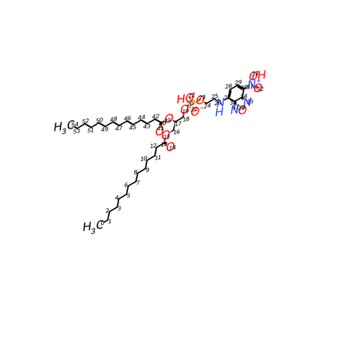 CCCCCCCCCCCCCC(=O)OC[C@H](CO[P+]([O-])(O)OCCNc1ccc([N+](=O)O)c2nonc12)OC(=O)CCCCCCCCCCCCC